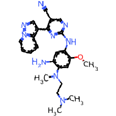 COc1cc(N(C)CCN(C)C)c(N)cc1Nc1ncc(C#N)c(-c2cnn3ccccc23)n1